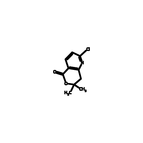 CC1(C)Cc2nc(Cl)ccc2C(=O)O1